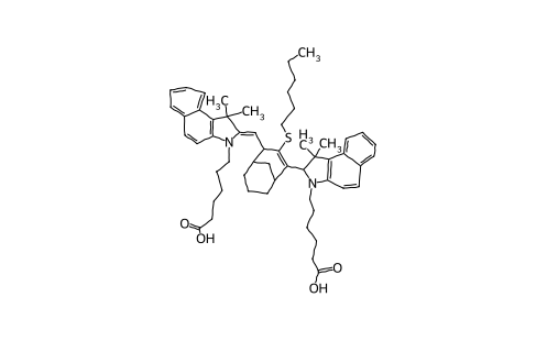 CCCCCCSC1=C(C2N(CCCCCC(=O)O)c3ccc4ccccc4c3C2(C)C)C2CCCC(C2)C1C=C1N(CCCCCC(=O)O)c2ccc3ccccc3c2C1(C)C